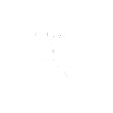 COc1ccc(C[C@@H]2COc3ccc(OCc4ccc5ccccc5n4)cc3[C@@H]2O)cc1C(=O)O